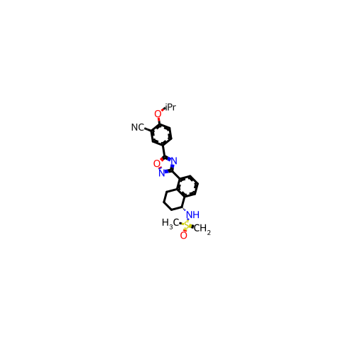 C=S(C)(=O)N[C@@H]1CCCc2c(-c3noc(-c4ccc(OC(C)C)c(C#N)c4)n3)cccc21